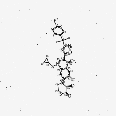 CC(C)(c1ccc(F)cc1)c1noc(-c2cn(CC3CC3)c3cc(N4CCSC(=O)C4=O)c(F)cc3c2=O)n1